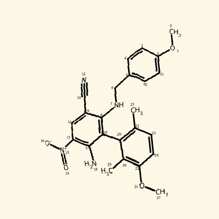 COc1ccc(CNc2c(C#N)cc([N+](=O)[O-])c(N)c2-c2c(C)ccc(OC)c2C)cc1